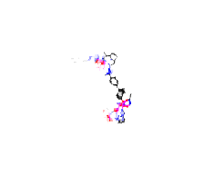 COC(=O)N[C@H](C(=O)N1C2CCCCC2C[C@H]1c1nc(-c2cc3c(-c4ccc(-c5c[nH]c([C@@H]6CC7CCCC8C(C)[C@H](NC(=O)OC)C(=O)N6C78)n5)cc4)cc2CCc2ccc(cc2)CC3)c[nH]1)C(C)C